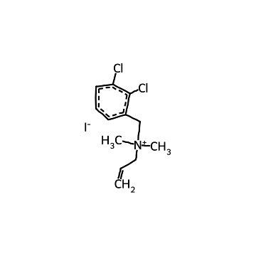 C=CC[N+](C)(C)Cc1cccc(Cl)c1Cl.[I-]